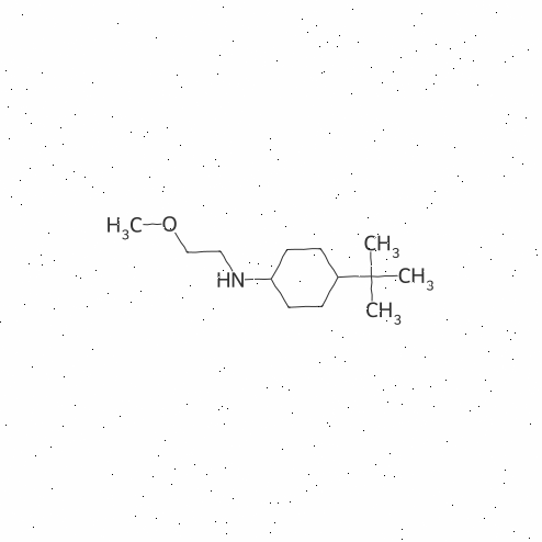 COCCNC1CCC(C(C)(C)C)CC1